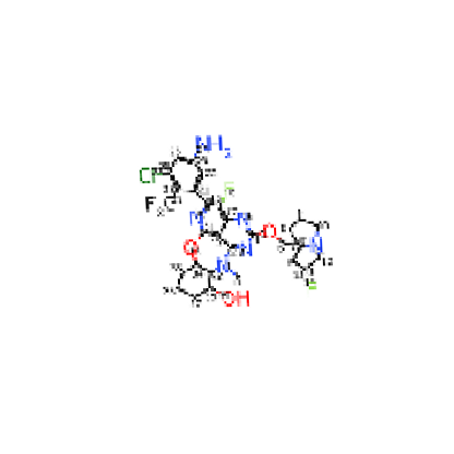 CN1c2nc(OC[C@@]34CCCN3C[C@H](F)C4)nc3c(F)c(-c4cc(N)cc(Cl)c4C(F)(F)F)nc(c23)OC2CCCC(O)C21